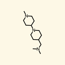 CN(C)CC1CCN(C2CCN(C)CC2)CC1